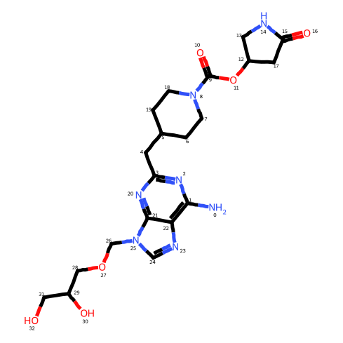 Nc1nc(CC2CCN(C(=O)OC3CNC(=O)C3)CC2)nc2c1ncn2COCC(O)CO